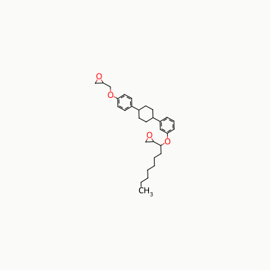 CCCCCCCC(Oc1cccc(C2CCC(c3ccc(OCC4CO4)cc3)CC2)c1)C1CO1